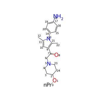 CCCOC1CCN(CC(=O)c2cc(C)n(-c3ccc(N)cc3)c2C)CC1